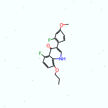 CCCOc1ccc(F)c2c(=O)c(-c3ccc(OC)cc3F)c[nH]c12